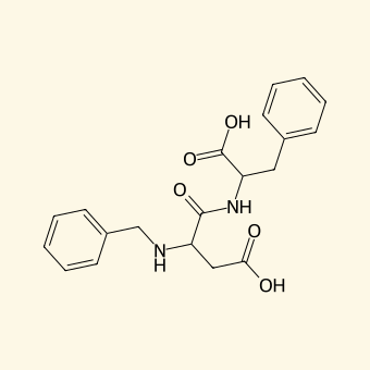 O=C(O)CC(NCc1ccccc1)C(=O)NC(Cc1ccccc1)C(=O)O